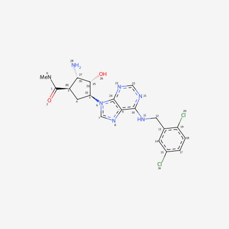 CNC(=O)[C@@H]1C[C@H](n2cnc3c(NCc4cc(Cl)ccc4Cl)ncnc32)[C@@H](O)[C@H]1N